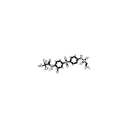 C=CS(=O)(=O)Nc1ccc(S(=O)(=O)c2ccc(NC(=O)C(C)(O)C(F)(F)F)c(Cl)c2)cc1